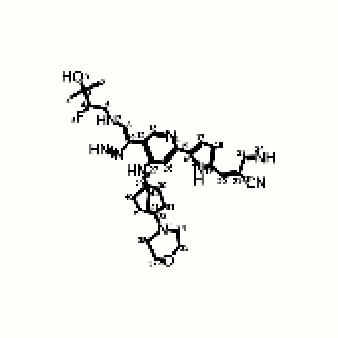 CC(C)(O)C(F)CN/C=C(\N=N)c1cnc(-c2ccc(/C=C(/C#N)C=N)[nH]2)cc1NC12CCC(N3CCOCC3)(CC1)CC2